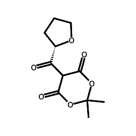 CC1(C)OC(=O)C(C(=O)[C@@H]2CCCO2)C(=O)O1